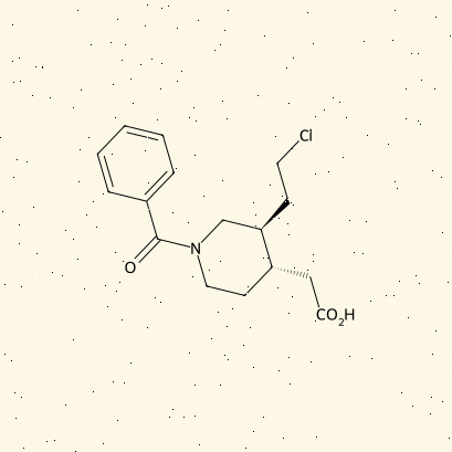 O=C(O)C[C@@H]1CCN(C(=O)c2ccccc2)C[C@H]1CCCl